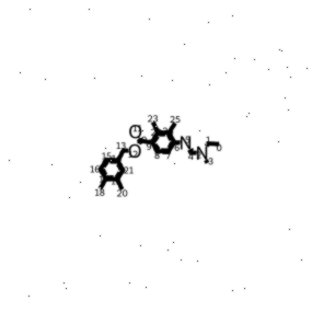 CCN(C)/C=N/c1ccc(C(=O)OCc2ccc(C)c(C)c2)c(C)c1C